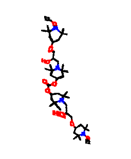 CCON1C(C)(C)CC(OCC(O)CN2C(C)(C)CC(OC(=O)OC3CC(C)(C)N(CC(O)COC4CC(C)(C)N(OCC)C(C)(C)C4)C(C)(C)C3)CC2(C)C)CC1(C)C